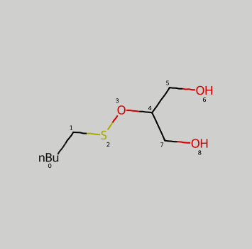 CCCCCSOC(CO)CO